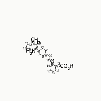 CN(C(=O)[C@@H](N)C1CCC(CCOc2ccccc2CC(=O)O)CC1)C1CCC1